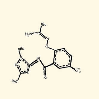 CCCCn1nc(C(C)(C)C)s/c1=N\C(=O)c1cc(C(F)(F)F)ccc1O/N=C(\N)C(C)(C)C